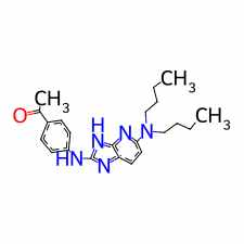 CCCCN(CCCC)c1ccc2nc(Nc3ccc(C(C)=O)cc3)[nH]c2n1